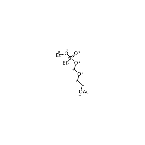 CCOP(=O)(CC)OCOCCOC(C)=O